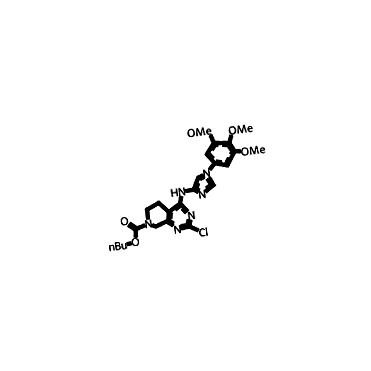 CCCCOC(=O)N1CCc2c(nc(Cl)nc2Nc2cn(-c3cc(OC)c(OC)c(OC)c3)cn2)C1